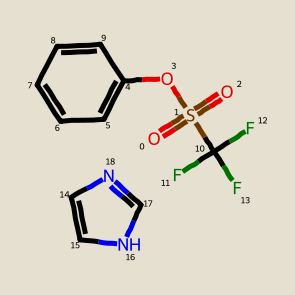 O=S(=O)(Oc1ccccc1)C(F)(F)F.c1c[nH]cn1